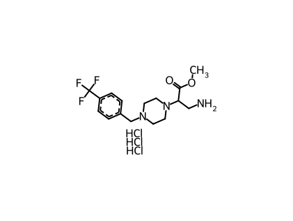 COC(=O)C(CN)N1CCN(Cc2ccc(C(F)(F)F)cc2)CC1.Cl.Cl.Cl